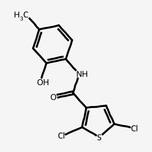 Cc1ccc(NC(=O)c2cc(Cl)sc2Cl)c(O)c1